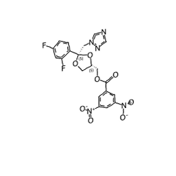 O=C(OC[C@@H]1CO[C@@](Cn2cncn2)(c2ccc(F)cc2F)O1)c1cc([N+](=O)[O-])cc([N+](=O)[O-])c1